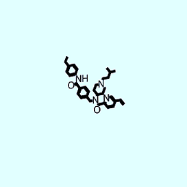 C=Cc1ccc(C(=O)N(Cc2ccc(C(=O)Nc3ccc(CC)cc3)cc2)C2CCN(CCC(C)C)CC2)nc1